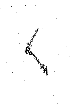 CCCOCCOCCOCCOCCNC(=O)OC1CCCC2C(c3ccc(OCCOCCOCCOCCNC(=O)CCN4C(=O)CC(OCCC)C4=O)cc3)=NN=C(C)C2CC1